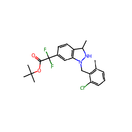 Cc1cccc(Cl)c1CN1NC(C)c2ccc(C(F)(F)C(=O)OC(C)(C)C)cc21